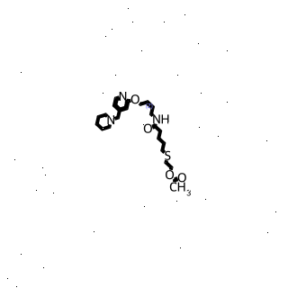 CC(=O)OCCSCCCCC(=O)NC/C=C\COc1cc(CN2CCCCC2)ccn1